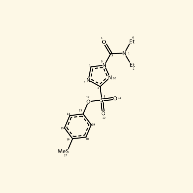 CCN(CC)C(=O)n1cnc(S(=O)(=O)Oc2ccc(SC)cc2)n1